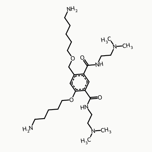 CN(C)CCNC(=O)c1cc(C(=O)NCCN(C)C)c(OCCCCCN)cc1COCCCCCN